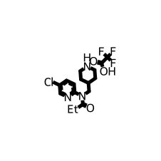 CCC(=O)N(CC1CCNCC1)c1ccc(Cl)cn1.O=C(O)C(F)(F)F